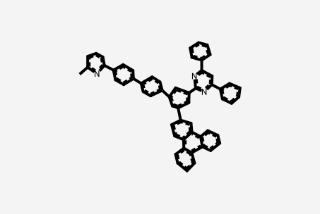 Cc1cccc(-c2ccc(-c3ccc(-c4cc(-c5ccc6c7ccccc7c7ccccc7c6c5)cc(-c5nc(-c6ccccc6)cc(-c6ccccc6)n5)c4)cc3)cc2)n1